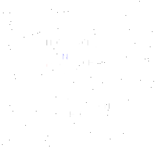 CC(C)c1ccc(C(=O)N(C)C(C)C)cc1